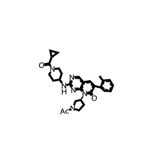 CC(=O)N1CC[C@H](n2c(=O)c(-c3ccccc3C)cc3cnc(NC4CCN(C(=O)C5CC5)CC4)nc32)C1